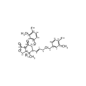 Cc1cc(COCC=CC2C(C)[C@H]3COC(=O)N3C(=O)[C@@H]2Oc2ccc(F)c(C)c2)ccc1F